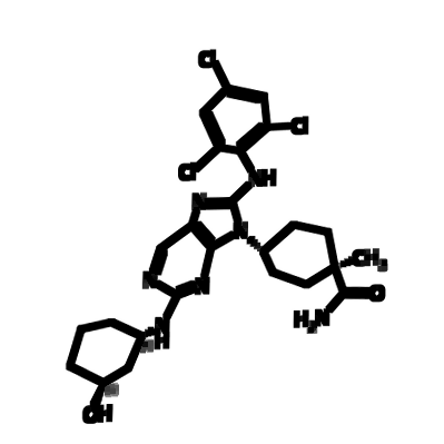 C[C@]1(C(N)=O)CC[C@H](n2c(Nc3c(Cl)cc(Cl)cc3Cl)nc3cnc(N[C@H]4CCC[C@H](O)C4)nc32)CC1